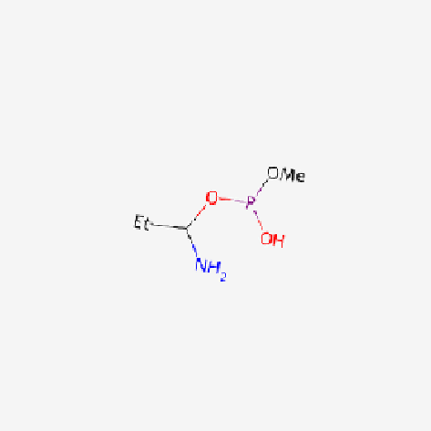 CCC(N)OP(O)OC